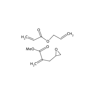 C=C(CC1CO1)C(=O)OC.C=CCOC(=O)C=C